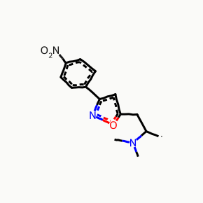 [CH2]C(Cc1cc(-c2ccc([N+](=O)[O-])cc2)no1)N(C)C